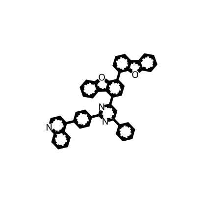 c1ccc(-c2cc(-c3ccc(-c4cccc5c4oc4ccccc45)c4oc5ccccc5c34)nc(-c3ccc(-c4ccnc5ccccc45)cc3)n2)cc1